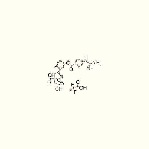 Cc1ccc(OC(=O)c2ccc(NC(=N)N)cc2)cc1C1=NOC(CC(=O)O)(C(=O)O)C1.O=C(O)C(F)(F)F